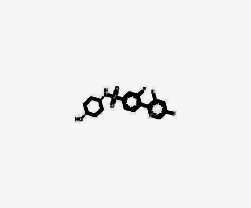 O=S(=O)(N[C@H]1CC[C@@H](O)CC1)c1ccc(-c2ncc(F)cc2F)c(F)c1